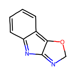 c1ccc2c(c1)=NC1=NCOC=21